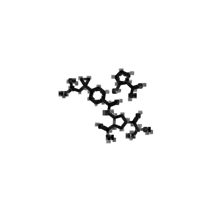 CN(C)CC1(c2ccc(C(=O)NC3CC(C(=O)N(C)C)CC3C(N)=O)cc2)CC1.O=C(O)c1sccc1Cl